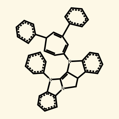 C1=CC(c2ccccc2)C=C(c2ccccc2)C=C1N1C2=C3N(CC2c2ccccc21)c1ccccc1N3c1ccccc1